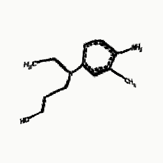 CCN(CCCO)c1ccc(N)c(C)c1